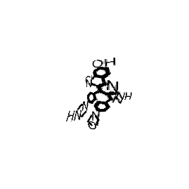 N#Cc1c(-c2ccc(O)cc2Cl)nc2[nH]nc(-c3ccc(N4CCOCC4)cc3)c2c1-c1ccc(N2CCNCC2)cc1